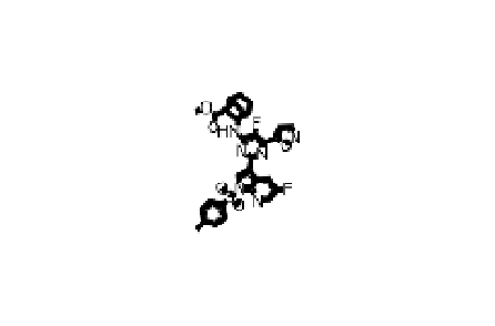 COC(=O)C1C2CCC(CC2)C1Nc1nc(-c2cn(S(=O)(=O)c3ccc(C)cc3)c3ncc(F)cc23)nc(-c2ccno2)c1F